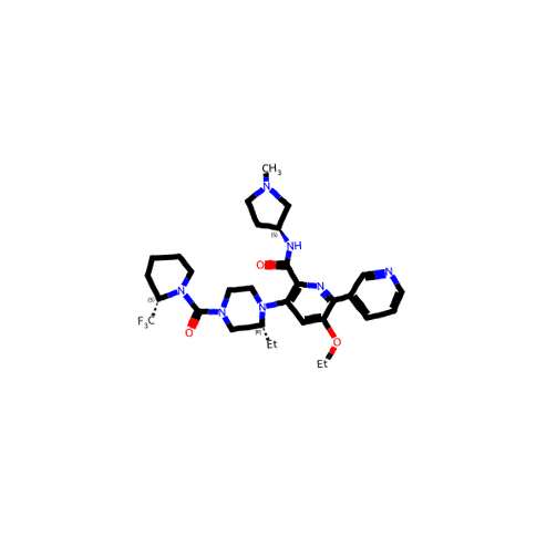 CCOc1cc(N2CCN(C(=O)N3CCCC[C@H]3C(F)(F)F)C[C@H]2CC)c(C(=O)N[C@H]2CCN(C)C2)nc1-c1cccnc1